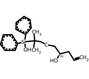 C=CC[C@@H](O)CCCC(C)(C)[Si](O)(c1ccccc1)c1ccccc1